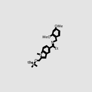 CCC(=NCc1ccc(OC)cc1OC)c1ccc2c(c1)cc(CO[Si](C)(C)C(C)(C)C)n2C